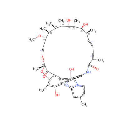 CO[C@H]1/C=C/O[C@@]2(C)Oc3c(C)c(O)c4c(O)c(c5c(nc6cc(C)ccn65)c4c3C2=O)NC(=O)/C(C)=C\C=C\[C@H](C)[C@H](O)[C@@H](C)[C@@H](O)[C@@H](C)[C@H](C)[C@@H]1C